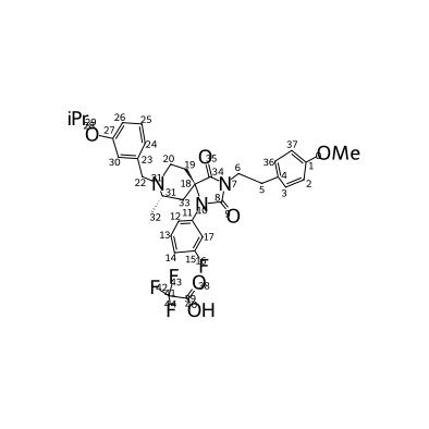 COc1ccc(CCN2C(=O)N(c3cccc(F)c3)[C@@]3(CCN(Cc4cccc(OC(C)C)c4)[C@@H](C)C3)C2=O)cc1.O=C(O)C(F)(F)F